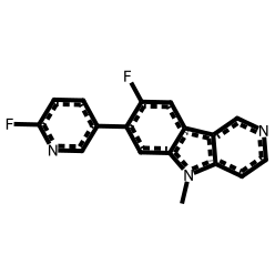 Cn1c2ccncc2c2cc(F)c(-c3ccc(F)nc3)cc21